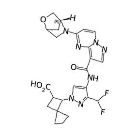 O=C(Nc1cn(C2C(C(=O)O)CC23CCC3)nc1C(F)F)c1cnn2ccc(N3CC4C[C@@H]3CO4)nc12